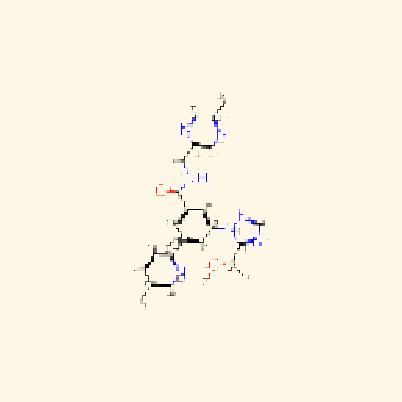 COC(C)c1ncnn1-c1cc(C(=O)NCc2cnc(C)cn2)cc(-c2ccc(C)cn2)c1